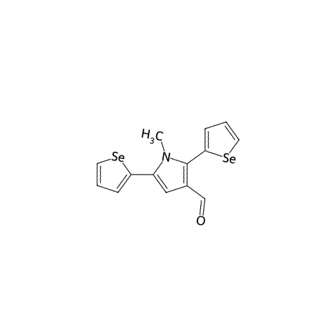 Cn1c(-c2ccc[se]2)cc(C=O)c1-c1ccc[se]1